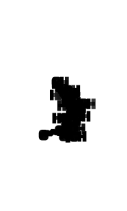 COC1[C@H](O[C@@H]2C(O)[C@H](O[C@@H]3C(O)[C@H](OC4[C@H](OCCCC=O)OC(C)[C@H](O)[C@@H]4O)OC(C)[C@@H]3O)OC(C)[C@@H]2O)OC(C)[C@@H](NC(=O)CC(C)(C)O)[C@@H]1O